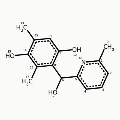 Cc1cccc(C(O)c2c(O)cc(C)c(O)c2C)n1